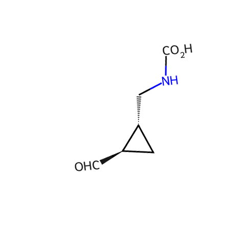 O=C[C@@H]1C[C@H]1CNC(=O)O